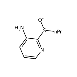 CCC[S+]([O-])c1ncccc1N